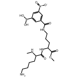 CNC(CCCCN)C(=O)NC(CCCNC(=O)c1cc(B(O)O)cc([N+](=O)[O-])c1)C(=O)OC